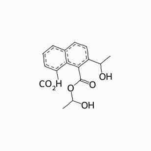 CC(O)OC(=O)c1c(C(C)O)ccc2cccc(C(=O)O)c12